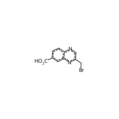 O=C(O)c1ccc2ncc(CBr)nc2c1